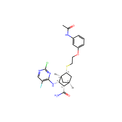 CC(=O)Nc1cccc(OCCS[C@@H]2C[C@@H]3C[C@H]2[C@@H](Nc2nc(Cl)ncc2F)[C@H]3C(N)=O)c1